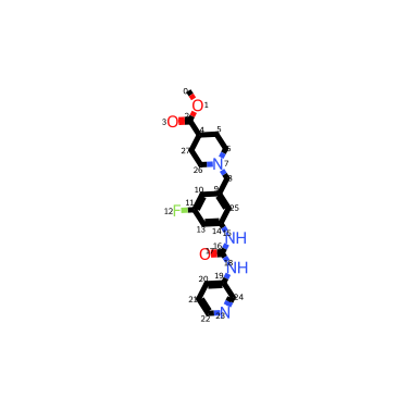 COC(=O)C1CCN(Cc2cc(F)cc(NC(=O)Nc3cccnc3)c2)CC1